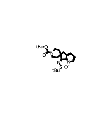 CC(C)(C)OC(=O)N1CCC2(CC1)Cc1cccnc1/C2=N\[S@+]([O-])C(C)(C)C